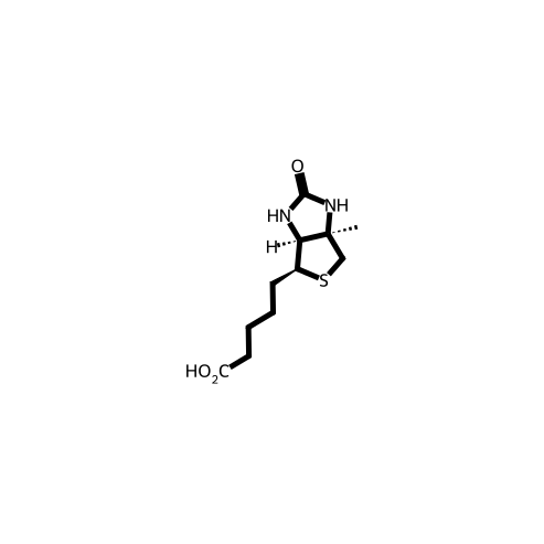 C[C@]12CS[C@@H](CCCCC(=O)O)[C@H]1NC(=O)N2